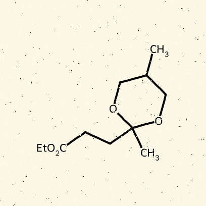 CCOC(=O)CCC1(C)OCC(C)CO1